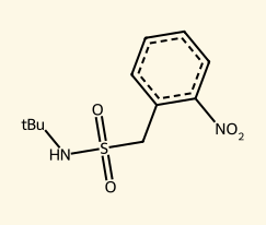 CC(C)(C)NS(=O)(=O)Cc1ccccc1[N+](=O)[O-]